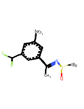 CC(=N[S@+]([O-])C(C)(C)C)c1cc(C(F)F)cc([N+](=O)[O-])c1